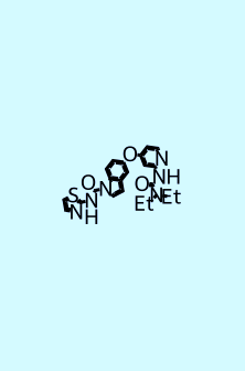 CCN(CC)C(=O)Nc1cc(Oc2ccc3c(ccn3C(=O)Nc3nccs3)c2)ccn1